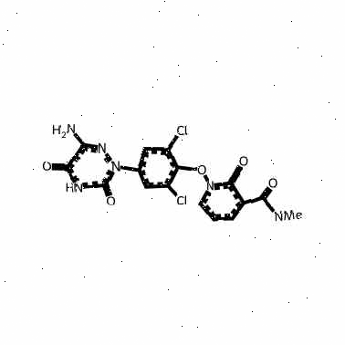 CNC(=O)c1cccn(Oc2c(Cl)cc(-n3nc(N)c(=O)[nH]c3=O)cc2Cl)c1=O